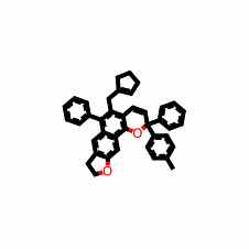 Cc1ccc(C2(c3ccccc3)C=Cc3c(CC4=CCCC4)c(-c4ccccc4)c4cc5c(cc4c3O2)OCC5)cc1